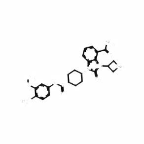 COc1cc(NC(=O)[C@H]2CC[C@@H](n3c(=O)n(C4CNC4)c4c(C(N)=O)cccc43)CC2)ccc1C